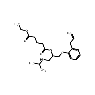 C=CCc1ccccc1OCC(CNC(C)C)OC(=O)CCCC(=O)OCC